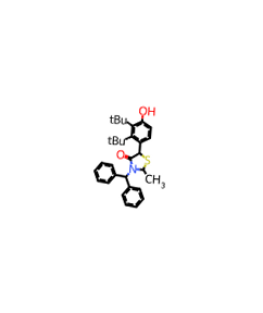 CC1SC(c2ccc(O)c(C(C)(C)C)c2C(C)(C)C)C(=O)N1C(c1ccccc1)c1ccccc1